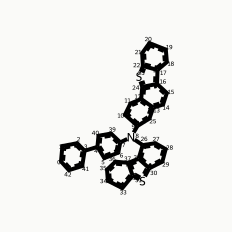 c1ccc(-c2ccc(N(c3ccc4c(ccc5c6ccccc6sc45)c3)c3cccc4sc5ccccc5c34)cc2)cc1